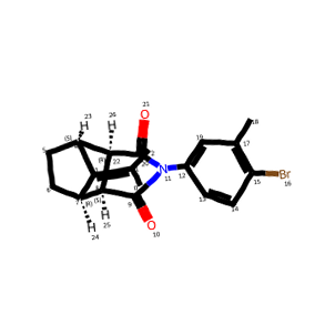 CC(C)=C1[C@H]2CC[C@@H]1[C@@H]1C(=O)N(c3ccc(Br)c(C)c3)C(=O)[C@@H]12